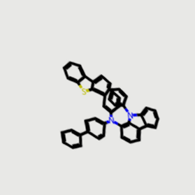 c1ccc(-c2ccc(N(c3ccc4ccc5c6ccccc6sc5c4c3)c3cccc4c5ccccc5n(-c5ccccc5)c34)cc2)cc1